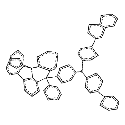 c1ccc(-c2ccc(N(c3ccc(-c4ccc5ccccc5c4)cc3)c3ccc(C4(c5ccccc5)c5ccccc5C5(c6ccccc6)c6ccccc6-c6cccc4c65)cc3)cc2)cc1